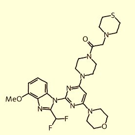 COc1cccc2c1nc(C(F)F)n2-c1nc(N2CCOCC2)cc(N2CCN(C(=O)CN3CCSCC3)CC2)n1